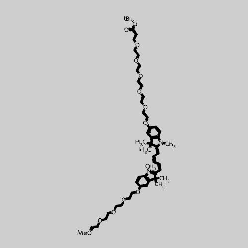 COCCOCCOCCOCCOc1ccc2c(c1)C(C)(C)C(\C=C/C=C\C=C1\N(C)c3ccc(OCCOCCOCCOCCOCCOCCC(=O)OC(C)(C)C)cc3C1(C)C)=[N+]2C